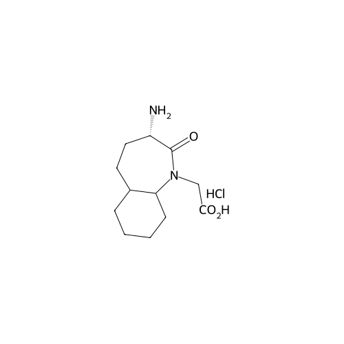 Cl.N[C@H]1CCC2CCCCC2N(CC(=O)O)C1=O